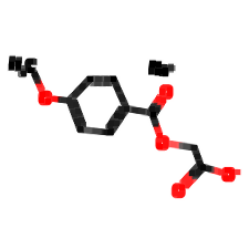 COc1ccc(C(=O)OCC(=O)[O-])cc1.[Na+]